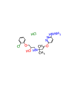 CC(C)(CCOc1ccc(NN)nn1)NCC(O)COc1ccccc1Cl.Cl